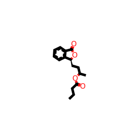 CCCC(=O)OC(C)CC[C@@H]1OC(=O)c2ccccc21